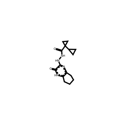 O=C(NNc1nc2c([nH]c1=O)CCCC2)C1(C2CC2)CC1